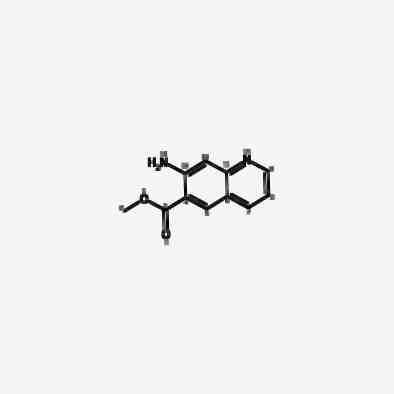 COC(=O)c1cc2cccnc2cc1N